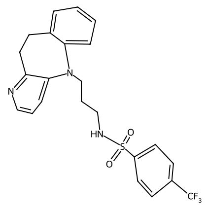 O=S(=O)(NCCCN1c2ccccc2CCc2ncccc21)c1ccc(C(F)(F)F)cc1